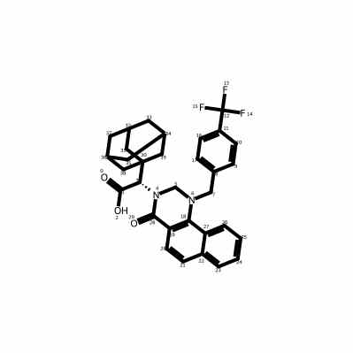 O=C(O)[C@@H](N1CN(Cc2ccc(C(F)(F)F)cc2)c2c(ccc3ccccc23)C1=O)C12CC3CC(CC(C3)C1)C2